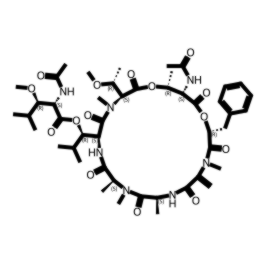 C=C1C(=O)N[C@@H](C)C(=O)N(C)[C@@H](C)C(=O)N[C@@H]([C@H](OC(=O)[C@@H](NC(C)=O)[C@H](OC)C(C)C)C(C)C)C(=O)N(C)[C@@H]([C@@H](C)OC)C(=O)O[C@H](C)[C@H](NC(C)=O)C(=O)O[C@H](Cc2ccccc2)C(=O)N1C